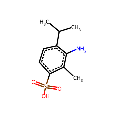 Cc1c(S(=O)(=O)O)ccc(C(C)C)c1N